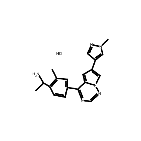 Cc1cc(-c2ncnn3cc(-c4cnn(C)c4)cc23)ccc1C(C)N.Cl